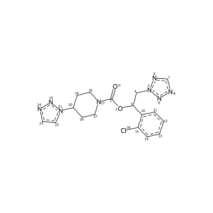 O=C(OC(Cn1ncnn1)c1ccccc1Cl)N1CCC(n2ccnn2)CC1